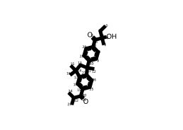 CCC(C)(O)C(=O)c1ccc(C2(C)CC(C)(C)c3cc(C(=O)C(C)C)ccc32)cc1